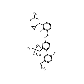 COc1ccc(F)c(-c2ccc(COc3cccc([C@@H](CC(=O)O)C4CC4)c3F)cc2[C@H](F)C(C)(C)C)c1